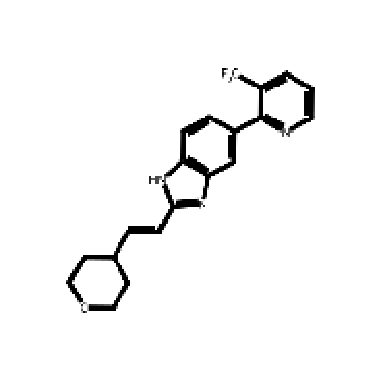 FC(F)(F)c1cccnc1-c1ccc2[nH]c(C=CC3CCOCC3)nc2c1